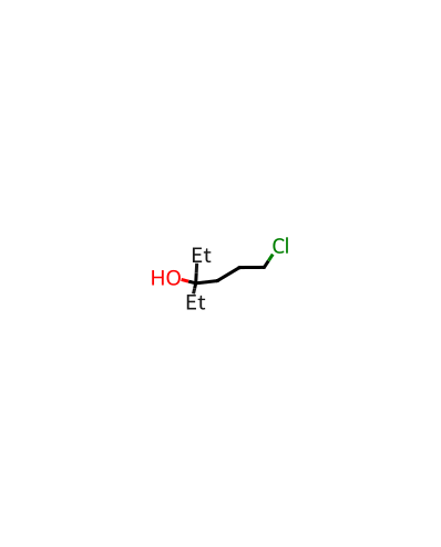 CCC(O)(CC)CCCCl